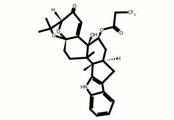 CC1(C)O[C@@]23CCC4(C)[C@@]5(C)c6[nH]c7ccccc7c6C[C@@H]5C[C@H](OC(=O)CC(F)(F)F)[C@@]4(O)C2=CC(=O)[C@@H]1O3